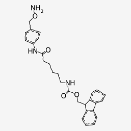 NOCc1ccc(NC(=O)CCCCCNC(=O)OCC2c3ccccc3-c3ccccc32)cc1